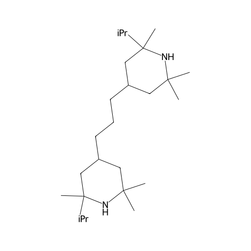 CC(C)C1(C)CC(CCCC2CC(C)(C)NC(C)(C(C)C)C2)CC(C)(C)N1